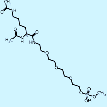 COP(=O)(O)OCCOCCOCCOCCNC(=O)[C@H](CCCCNC(C)=O)NC(C)=O